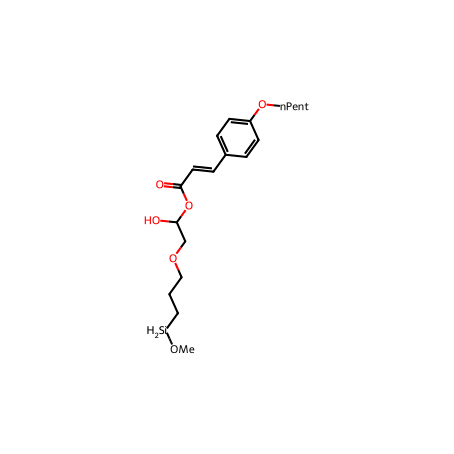 CCCCCOc1ccc(C=CC(=O)OC(O)COCCC[SiH2]OC)cc1